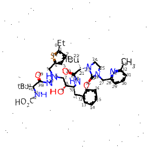 CCc1ccc(CN(C[C@H](O)[C@H](Cc2ccccc2)NC(=O)[C@H]([C@@H](C)CC)N2CCN(Cc3cccc(C)n3)C2=O)NC(=O)[C@@H](NC(=O)O)C(C)(C)C)s1